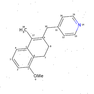 COc1cccc2c1CCC(Cc1ccncc1)=C2C